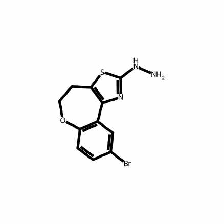 NNc1nc2c(s1)CCOc1ccc(Br)cc1-2